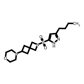 CCCCc1cc(S(=O)(=O)N2CC3(CC(N4CCOCC4)C3)C2)[nH]n1